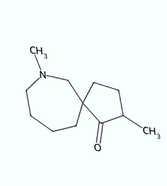 CC1CCC2(CCCCN(C)C2)C1=O